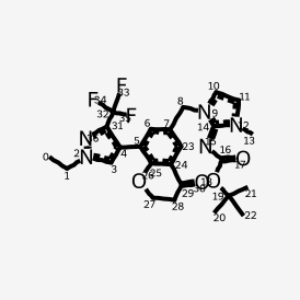 CCn1cc(-c2cc(Cn3ccn(C)c3=NC(=O)OC(C)(C)C)cc3c2OCCC3=O)c(C(F)(F)F)n1